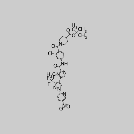 Cn1c(-c2cn(-c3ccc([N+](=O)[O-])cn3)nc2C(F)(F)F)cnc1C(=O)Nc1ccc(C(=O)N2CCC(C(=O)OC(C)(C)C)CC2)c(Cl)c1